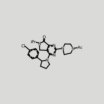 CC(=O)N1CCN(c2nc3c(c(N4CCCC4c4ccc(Cl)cc4)n2)CN(C(C)C)C3=O)CC1